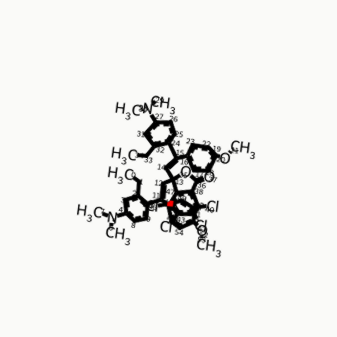 CCc1cc(N(C)C)ccc1/C(=C/C1(/C=C(\c2ccc(OC)cc2)c2ccc(N(C)C)cc2CC)OC(=O)c2c(Cl)c(Cl)c(Cl)c(Cl)c21)c1ccc(OC)cc1